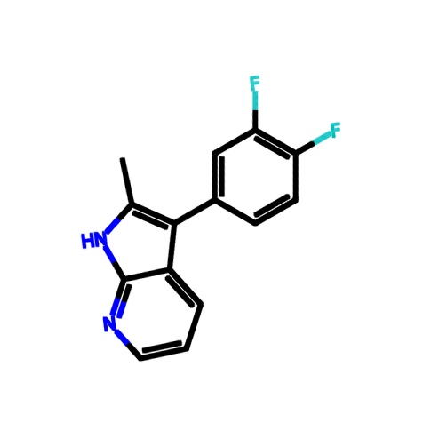 Cc1[nH]c2ncccc2c1-c1ccc(F)c(F)c1